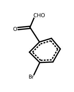 O=CC(=O)c1cccc(Br)c1